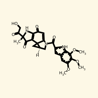 COc1cc2cc(C(=O)N3C[C@H]4CC45C3=CC(=O)C3=C5C(=O)C(C)(C(=O)CO)N3)[nH]c2c(OC)c1OC